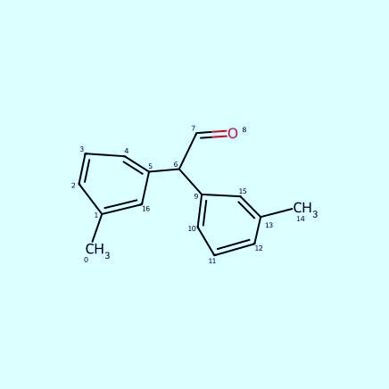 Cc1cccc(C(C=O)c2cccc(C)c2)c1